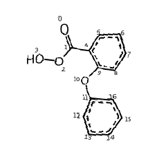 O=C(OO)c1ccccc1Oc1ccccc1